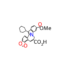 COC(=O)c1ccc2c(C3CCCCC3)c3n(c2c1)CC(C(=O)O)=Cc1c-3ccc2c1OCO2